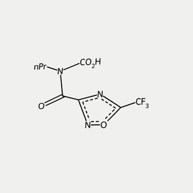 CCCN(C(=O)O)C(=O)c1noc(C(F)(F)F)n1